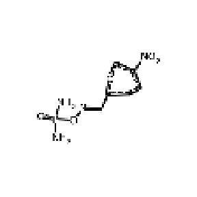 NP(N)(=O)ON=Cc1ccc([N+](=O)[O-])cc1